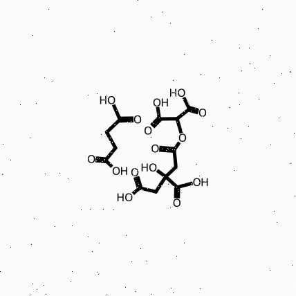 O=C(O)CC(O)(CC(=O)OC(C(=O)O)C(=O)O)C(=O)O.O=C(O)CCC(=O)O